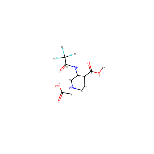 CC(=O)O.COC(=O)C1CCNCC1NC(=O)C(F)(F)F